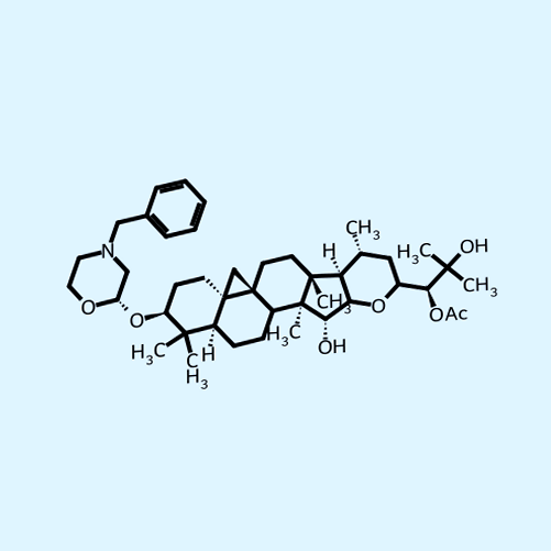 CC(=O)O[C@@H](C1C[C@@H](C)[C@H]2C(O1)[C@H](O)[C@@]1(C)C3CC[C@H]4C(C)(C)[C@@H](O[C@H]5CN(Cc6ccccc6)CCO5)CC[C@@]45C[C@@]35CC[C@]21C)C(C)(C)O